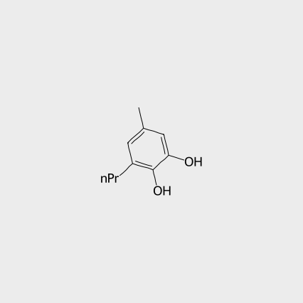 CCCc1cc(C)cc(O)c1O